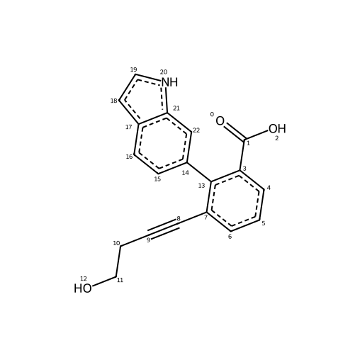 O=C(O)c1cccc(C#CCCO)c1-c1ccc2cc[nH]c2c1